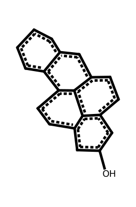 Oc1cc2ccc3cc4ccccc4c4ccc(c1)c2c34